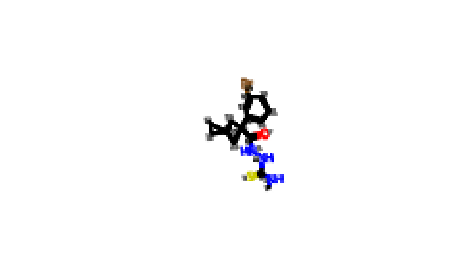 CNC(=S)NNC(=O)C1(c2cccc(Br)c2)CC2(CC2)C1